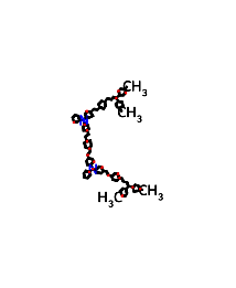 Cc1ccc(C(=C/C=C/c2ccc(/C=C/c3ccc(N(c4ccccc4)c4ccc(/C=C/c5ccc(/C=C/c6ccc(N(c7ccccc7)c7ccc(/C=C/c8ccc(/C=C/C=C(c9ccc(C)cc9)c9ccc(C)cc9)cc8)cc7)cc6)cc5)cc4)cc3)cc2)c2ccc(C)cc2)cc1